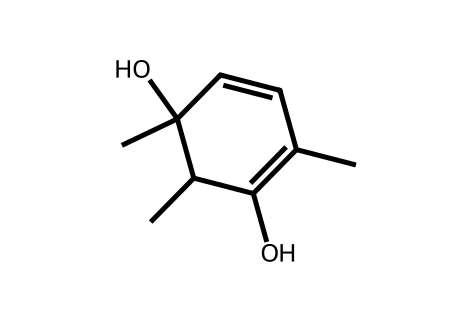 CC1=C(O)C(C)C(C)(O)C=C1